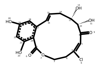 O=C1OCC/C(Cl)=C\C(=O)[C@@H](O)[C@@H](O)C/C=C/c2cc(O)cc(O)c21